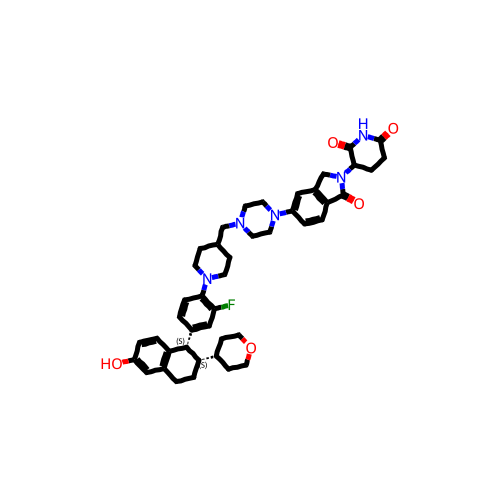 O=C1CCC(N2Cc3cc(N4CCN(CC5CCN(c6ccc([C@H]7c8ccc(O)cc8CC[C@H]7C7CCOCC7)cc6F)CC5)CC4)ccc3C2=O)C(=O)N1